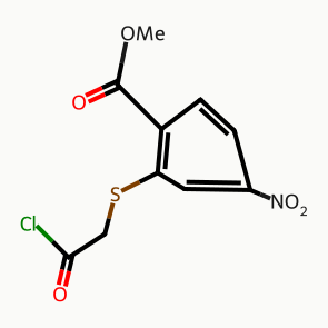 COC(=O)c1ccc([N+](=O)[O-])cc1SCC(=O)Cl